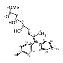 COC(=O)CC(O)CC(O)/C=C/C(C)=C(c1ccc(F)cc1)c1ccc(F)cc1